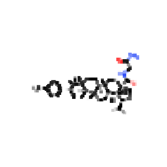 C=C(C)[C@@H]1CC[C@]2(C(=O)NCC(N)=O)CC[C@]3(C)[C@H](CC[C@@H]4[C@@]5(C)CC=C(c6ccc(C(=O)O)cc6)C(C)(C)[C@@H]5CC[C@]43C)[C@@H]12